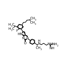 CC(C)CCCc1cc(-c2cc3cn(-c4ccc([C@H](C)NCCCNC(=N)N)cc4)c(=O)nc3[nH]2)c(F)c(C(C)C)c1